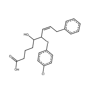 O=C(O)CCCC(O)C(/C=C\Cc1ccccc1)Sc1ccc(Cl)cc1